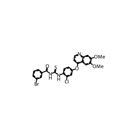 COc1cc2nccc(Oc3ccc(NC(=S)NC(=O)c4cccc(Br)c4)c(Cl)c3)c2cc1OC